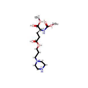 CC(C)(C)OC(=O)N[C@@H](CCC(=O)OCCCN1CCNCC1)C(=O)OC(C)(C)C